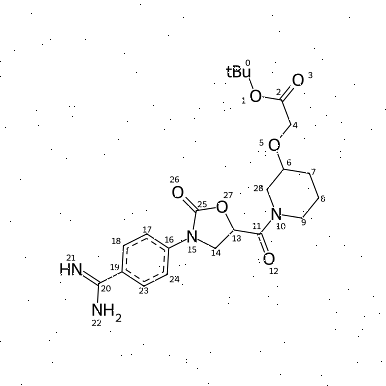 CC(C)(C)OC(=O)COC1CCCN(C(=O)C2CN(c3ccc(C(=N)N)cc3)C(=O)O2)C1